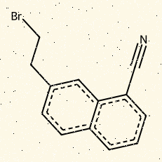 N#Cc1[c]ccc2ccc(CCBr)cc12